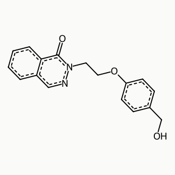 O=c1c2ccccc2cnn1CCOc1ccc(CO)cc1